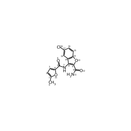 Cc1ccc(C(=O)Nc2c(C(N)=O)oc3ccc(Cl)cc23)o1